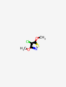 COc1nsc(OC)c1Cl